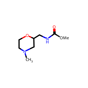 COC(=O)NCC1CN(C)CCO1